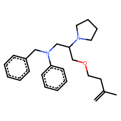 C=C(C)CCOCC(CN(Cc1ccccc1)c1ccccc1)N1CCCC1